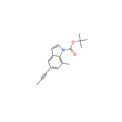 CC#Cc1cc(C)c2c(ccn2C(=O)OC(C)(C)C)c1